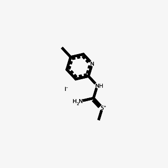 C/[S+]=C(\N)Nc1ccc(C)cn1.[I-]